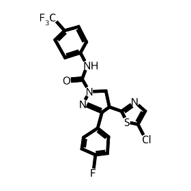 O=C(Nc1ccc(C(F)(F)F)cc1)N1CC(c2ncc(Cl)s2)C(c2ccc(F)cc2)=N1